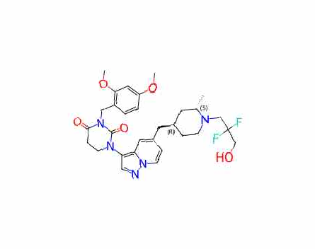 COc1ccc(CN2C(=O)CCN(c3cnn4ccc(C[C@@H]5CCN(CC(F)(F)CO)[C@@H](C)C5)cc34)C2=O)c(OC)c1